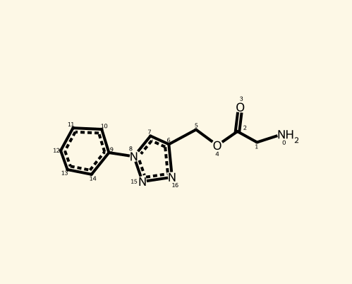 NCC(=O)OCc1cn(-c2ccccc2)nn1